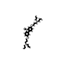 CCCN(CCC)CCCOc1ccc2c(c1)c1ccc(OCCCN(CCC)CCC)cc1[s+]2[O-]